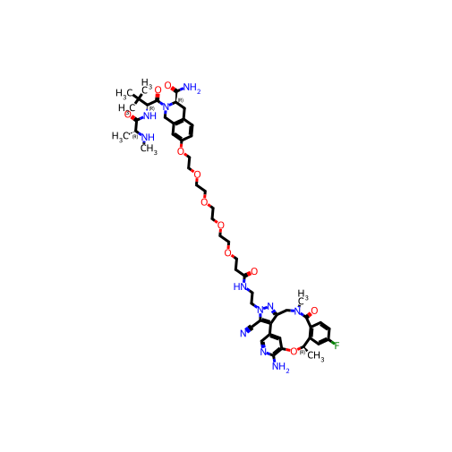 CN[C@H](C)C(=O)N[C@@H](C(=O)N1Cc2cc(OCCOCCOCCOCCOCCC(=O)NCCn3nc4c(c3C#N)-c3cnc(N)c(c3)O[C@H](C)c3cc(F)ccc3C(=O)N(C)C4)ccc2C[C@@H]1C(N)=O)C(C)(C)C